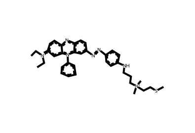 CC[N+](CC)=c1ccc2nc3ccc(/N=N/c4ccc(NCCC[N+](C)(C)CCSC)cc4)cc3n(-c3ccccc3)c-2c1